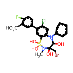 CN1C(O)(CBr)C(O)N(c2ccccc2)c2cc(Cl)c(-c3ccc(F)c(C(=O)O)c3)cc2S1(O)O